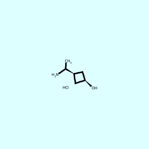 CC(N)[C@H]1C[C@@H](O)C1.Cl